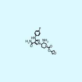 NC(=O)c1cn([C@@H]2CCN(C(=O)OC3COC3)C[C@H]2N)nc1Nc1ccc(F)cc1